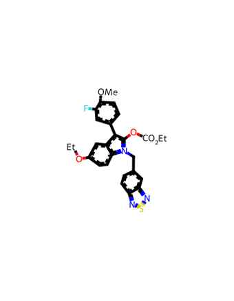 CCOC(=O)Oc1c(-c2ccc(OC)c(F)c2)c2cc(OCC)ccc2n1Cc1ccc2nsnc2c1